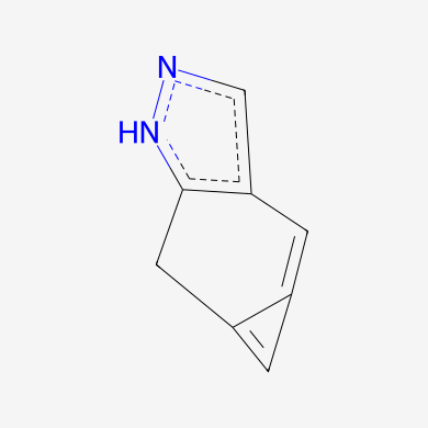 C1=C2C=C2Cc2[nH]ncc21